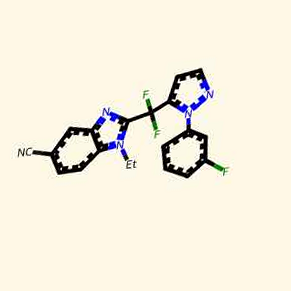 CCn1c(C(F)(F)c2ccnn2-c2cccc(F)c2)nc2cc(C#N)ccc21